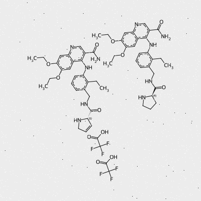 CCOc1cc2ncc(C(N)=O)c(Nc3cccc(CNC(=O)[C@@H]4C=CCN4)c3CC)c2cc1OCC.CCOc1cc2ncc(C(N)=O)c(Nc3cccc(CNC(=O)[C@H]4CCCN4)c3CC)c2cc1OCC.O=C(O)C(F)(F)F.O=C(O)C(F)(F)F